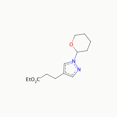 CCOC(=O)CCc1cnn(C2CCCCO2)c1